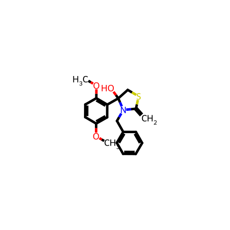 C=C1SCC(O)(c2cc(OC)ccc2OC)N1Cc1ccccc1